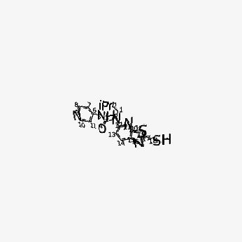 CC(C)CN(C(=O)Nc1ccncc1)c1ccc2nc(S)sc2n1